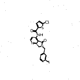 O=C(Nc1ccnc2c1C(=O)N(Cc1cccc(I)c1)C2)c1ccc(Cl)s1